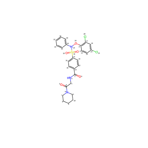 O=C(NCC(=O)N1CCCCC1)c1ccc(S(=O)(=O)N(Oc2ccc(Cl)cc2Cl)c2ccccc2)cc1